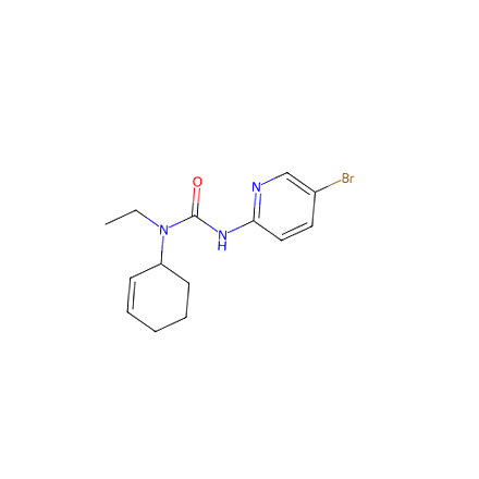 CCN(C(=O)Nc1ccc(Br)cn1)C1C=CCCC1